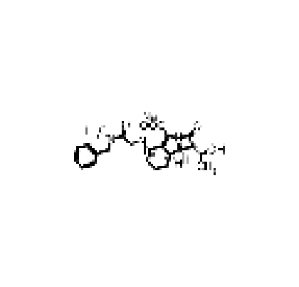 CC(O)[C@H]1C(=O)N2C(C(=O)[O-])=C3[C@@H](NCC(=O)N(C)Cc4ccccc4)CCC[C@@H]3[C@H]12.[Na+]